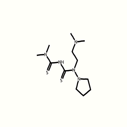 CN(C)CCN(C(=S)NC(=S)N(C)C)N1CCCC1